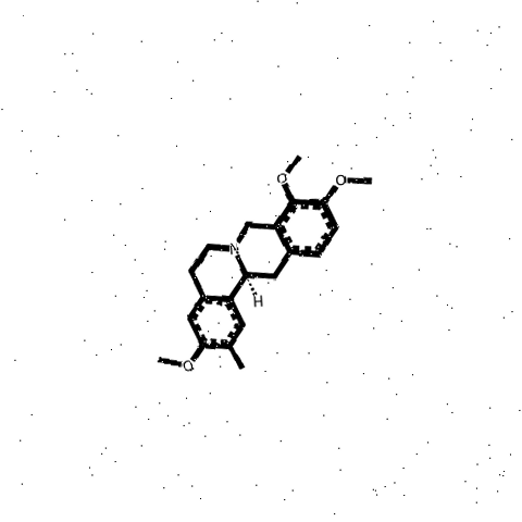 COc1cc2c(cc1C)[C@@H]1Cc3ccc(OC)c(OC)c3CN1CC2